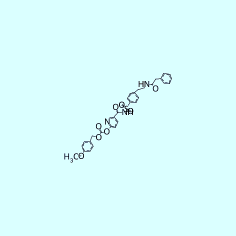 COc1ccc(COC(=O)Oc2ccc(C(=O)NS(=O)(=O)c3ccc(CCNC(=O)Cc4ccccc4)cc3)cn2)cc1